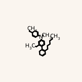 CCCCCCC1=C(c2ccc(N(C)C3=CCC(CC)C=C3)cc2CC)CCC=C1